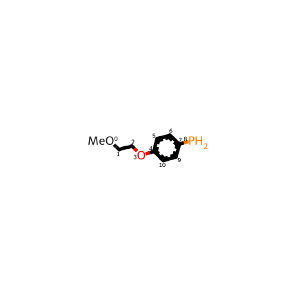 COCCOc1ccc(P)cc1